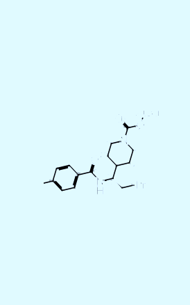 CC(C)C[C@@H](NC(=O)c1ccc(F)cc1)C1CCN(C(=O)OC(C)(C)C)CC1